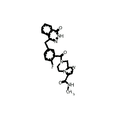 CNC(=O)c1cnc2n1CCN(C(=O)c1cc(Cc3n[nH]c(=O)c4ccccc34)ccc1F)C2